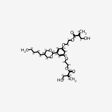 C=C(CO)C(=O)OCCOc1cc(OCCOC(=O)C(=C)CO)cc(C2OCC(CCCCC)CO2)c1